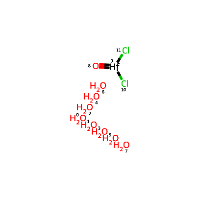 O.O.O.O.O.O.O.O.[O]=[Hf]([Cl])[Cl]